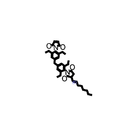 CCCCCC/C=C/C1CC(=O)N(c2c(CC)cc(Cc3cc(CC)c(N4C(=O)C=CC4=O)c(CC)c3)cc2CC)C1=O